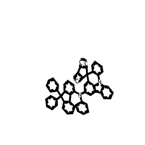 c1ccc(N(c2cc3c4c(c2)c2ccccc2n4-c2ccccc2C32c3ccccc3-c3ccccc32)c2cccc3c2-c2ccccc2C3(c2ccccc2)c2ccccc2)cc1